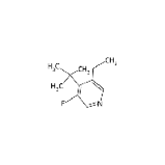 CCc1cncc(F)c1C(C)(C)C